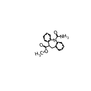 COC(=O)C1Cc2ccccc2N(C(N)=O)c2ccccc21